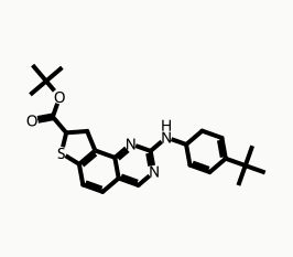 CC(C)(C)OC(=O)C1Cc2c(ccc3cnc(NC4C=CC(C(C)(C)C)=CC4)nc23)S1